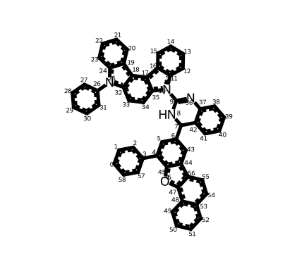 c1ccc(-c2cc(C3NC(n4c5ccccc5c5c6c7ccccc7n(-c7ccccc7)c6ccc54)=Nc4ccccc43)cc3c2oc2c4ccccc4ccc32)cc1